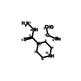 CC(C)(C)OC=O.NNC(=S)N1CCNCC1